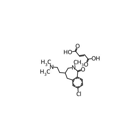 CN(C)CCC1Cc2cc(Cl)ccc2C(=O)N(C)C1.O=C(O)C=CC(=O)O